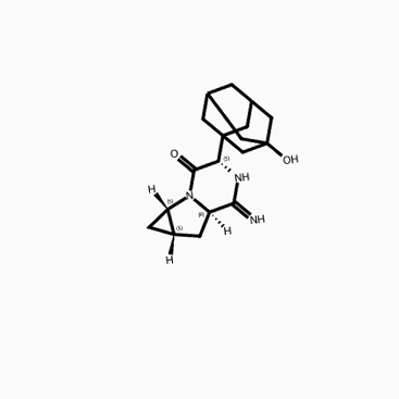 N=C1N[C@@H](C23CC4CC(CC(O)(C4)C2)C3)C(=O)N2[C@@H]1C[C@@H]1C[C@@H]12